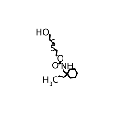 CCCC1(CNC(=O)OCCSSCCO)CCCCC1